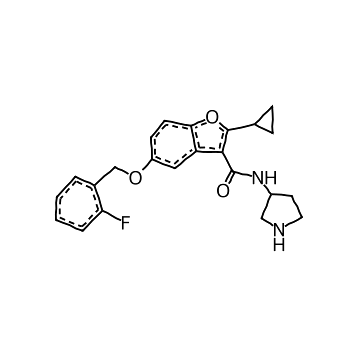 O=C(NC1CCNC1)c1c(C2CC2)oc2ccc(OCc3ccccc3F)cc12